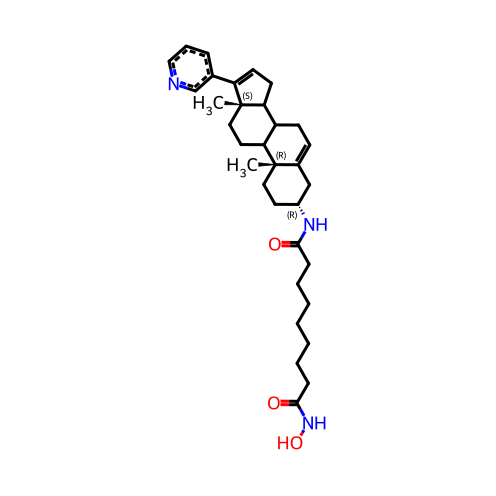 C[C@]12CC[C@@H](NC(=O)CCCCCCCC(=O)NO)CC1=CCC1C2CC[C@]2(C)C(c3cccnc3)=CCC12